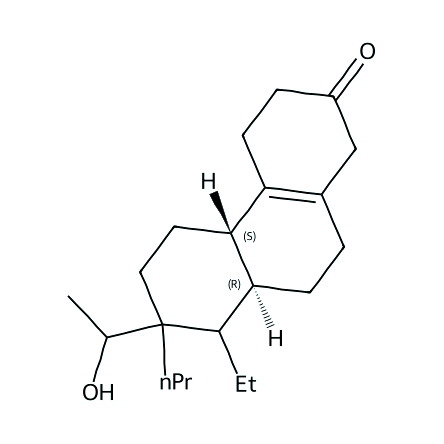 CCCC1(C(C)O)CC[C@@H]2C3=C(CC[C@H]2C1CC)CC(=O)CC3